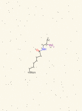 CCCCCCCCCCCCCCCC(=O)NCC(P)C(C)=O